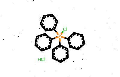 Cl.ClP(c1ccccc1)(c1ccccc1)(c1ccccc1)c1ccccc1